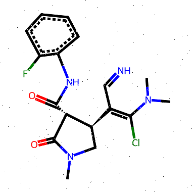 CN1C[C@H](/C(C=N)=C(\Cl)N(C)C)[C@@H](C(=O)Nc2ccccc2F)C1=O